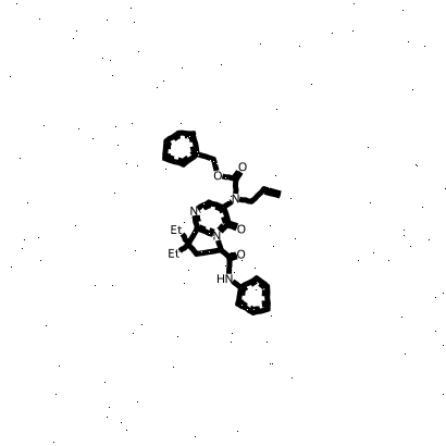 C=CCN(C(=O)OCc1ccccc1)c1cnc2n(c1=O)C(C(=O)Nc1ccccc1)CC2(CC)CC